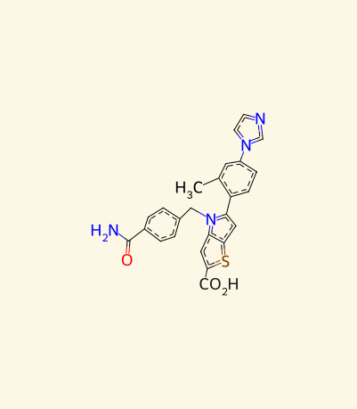 Cc1cc(-n2ccnc2)ccc1-c1cc2sc(C(=O)O)cc2n1Cc1ccc(C(N)=O)cc1